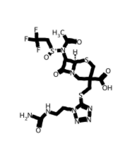 CC(=O)N(C1C(=O)N2CC(CSc3nnnn3CCNC(N)=O)(C(=O)O)CS[C@H]12)[S+]([O-])CC(F)(F)F